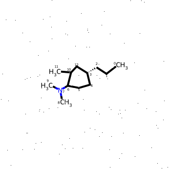 CCC[C@@H]1CCC(N(C)C)C(C)C1